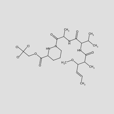 C/C=C/C(OC)C(C)C(=O)NC(C(=O)NC(C)C(=O)N1CCCC(C(=O)OCC(Cl)(Cl)Cl)N1)C(C)C